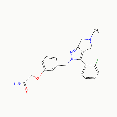 CN1Cc2nn(Cc3cccc(OCC(N)=O)c3)c(-c3ccccc3F)c2C1